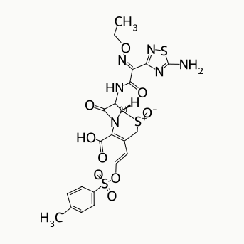 CCON=C(C(=O)NC1C(=O)N2C(C(=O)O)=C(C=COS(=O)(=O)c3ccc(C)cc3)C[S+]([O-])[C@@H]12)c1nsc(N)n1